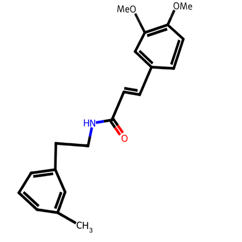 COc1ccc(C=CC(=O)NCCc2cccc(C)c2)cc1OC